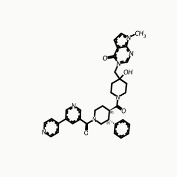 Cn1ccc2c(=O)n(CC3(O)CCN(C(=O)[C@@H]4CCN(C(=O)c5cncc(-c6ccncc6)c5)C[C@H]4c4ccccc4)CC3)cnc21